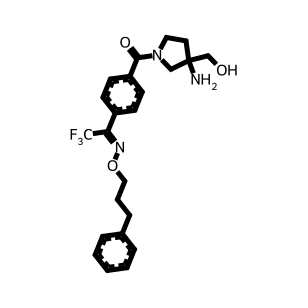 NC1(CO)CCN(C(=O)c2ccc(/C(=N/OCCCc3ccccc3)C(F)(F)F)cc2)C1